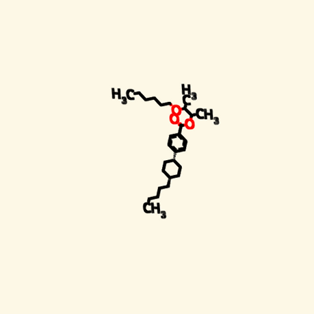 CCCCCCOC(C)C(C)OC(=O)c1ccc([C@H]2CC[C@H](CCCCC)CC2)cc1